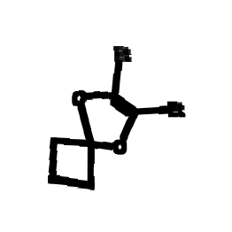 CCC1=C(CC)OC2(CCC2)O1